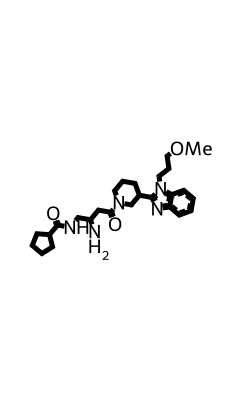 COCCCn1c(C2CCCN(C(=O)CC(N)CNC(=O)C3CCCC3)C2)nc2ccccc21